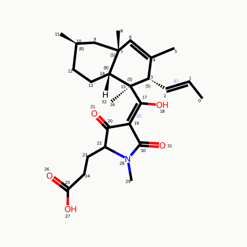 C/C=C/[C@H]1C(C)=C[C@@]2(C)C[C@H](C)CC[C@H]2[C@]1(C)/C(O)=C1\C(=O)C(CCC(=O)O)N(C)C1=O